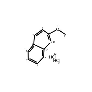 COc1ccc2ccccc2n1.Cl.Cl